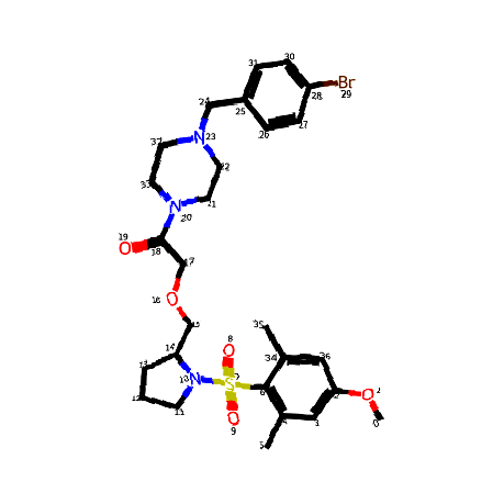 COc1cc(C)c(S(=O)(=O)N2CCCC2COCC(=O)N2CCN(Cc3ccc(Br)cc3)CC2)c(C)c1